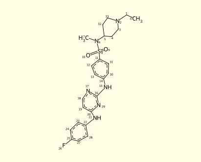 CCN1CCC(N(C)S(=O)(=O)c2ccc(Nc3nccc(Nc4ccc(F)cc4)n3)cc2)CC1